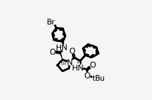 CC(C)(C)OC(=O)N[C@@H](C(=O)N1CCC[C@H]1C(=O)Nc1ccc(Br)cc1)c1ccccc1